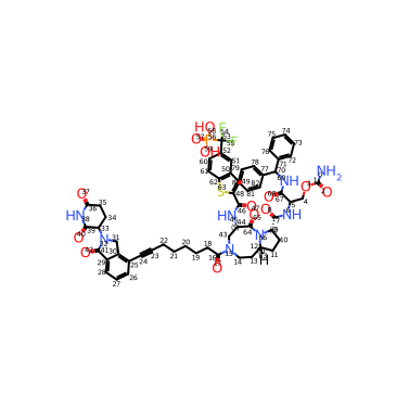 NC(=O)OCC(NC(=O)[C@@H]1CC[C@@H]2CCN(C(=O)CCCCCC#Cc3cccc4c3CN(C3CCC(=O)NC3=O)C4=O)C[C@H](NC(=O)c3cc4cc(C(F)(F)P(=O)(O)O)ccc4s3)C(=O)N21)C(=O)NC(c1ccccc1)c1ccccc1